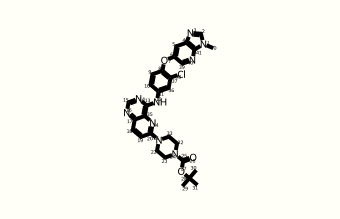 Cn1cnc2cc(Oc3ccc(Nc4ncnc5ccc(N6CCN(C(=O)OC(C)(C)C)CC6)nc45)cc3Cl)cnc21